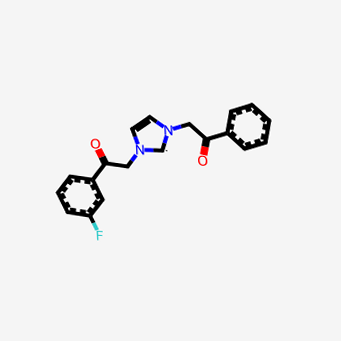 O=C(CN1[CH]N(CC(=O)c2cccc(F)c2)C=C1)c1ccccc1